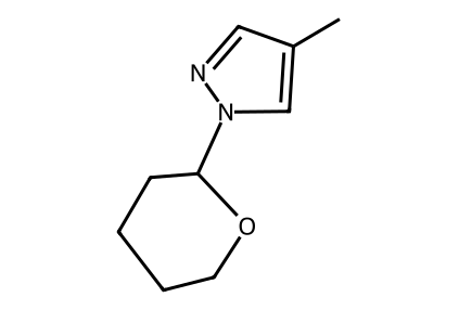 Cc1cnn(C2CCCCO2)c1